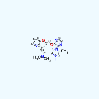 C[C@@H]1CNCCN1c1nccnc1OCCOc1cccnc1C=CCN(C)C